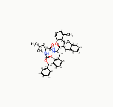 Cc1ccccc1C[C](Cc1ccccc1C)C(=O)[C@H](Cc1ccccc1)NC(=O)[C@H](CC(C)C)NC(=O)OCc1ccccc1